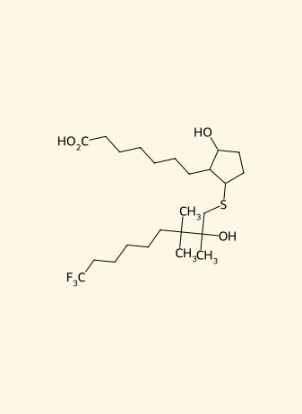 CC(C)(CCCCCC(F)(F)F)C(C)(O)CSC1CCC(O)C1CCCCCCC(=O)O